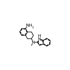 CN(c1cc2ccccc2[nH]1)C1CCc2c(N)cccc2C1